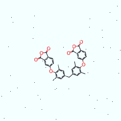 Cc1cc(Cc2cc(C)c(Oc3ccc4c(c3)C(=O)OC4=O)c(C)c2)cc(C)c1Oc1ccc2c(c1)C(=O)OC2=O